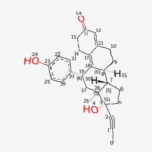 CC#C[C@]1(O)CC[C@H]2[C@@H]3CCC4=CC(=O)CCC4=C3[C@@H](c3ccc(O)cc3)C[C@@]21C